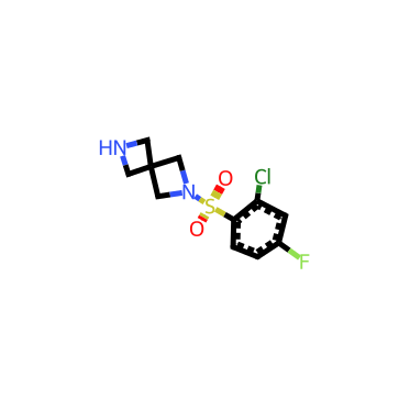 O=S(=O)(c1ccc(F)cc1Cl)N1CC2(CNC2)C1